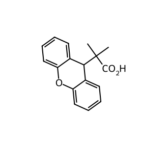 CC(C)(C(=O)O)C1c2ccccc2Oc2ccccc21